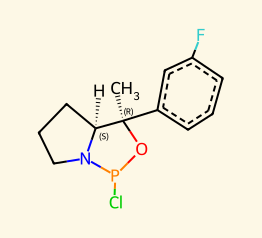 C[C@]1(c2cccc(F)c2)OP(Cl)N2CCC[C@H]21